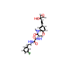 CN1C(=O)[C@@H](NC(=O)C(=O)NCCc2cccc(F)c2)COc2ccc(C#CC3(O)COC3)cc21